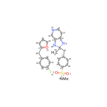 CNS(=O)(=O)c1ccc(CC2(C)N=c3ccncc3=N2)cc1.Fc1ccc(Cc2ccco2)cc1